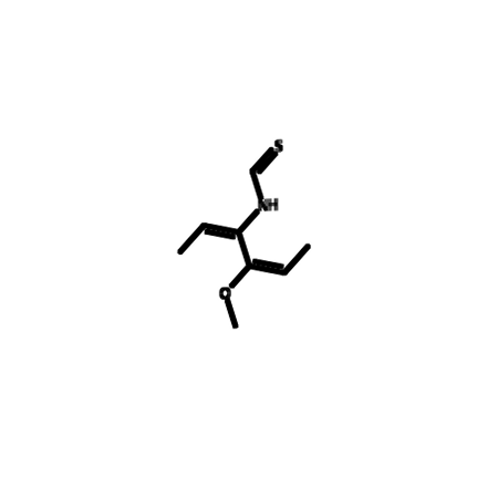 C/C=C(NC=S)\C(=C/C)OC